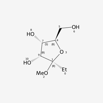 CC[C@@]1(OC)O[C@H](CO)[C@@H](O)[C@H]1O